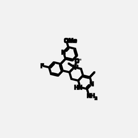 COc1cccc(-c2cc(F)ccc2C2CC3NC(N)=NC(C)=C3C[N+]2(C)[O-])n1